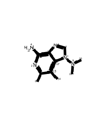 Cc1nc(N)c2ncn(N(C)C)c2c1C